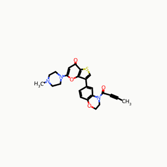 CC#CC(=O)N1CCOc2ccc(-c3csc4c(=O)cc(N5CCN(C)CC5)oc34)cc21